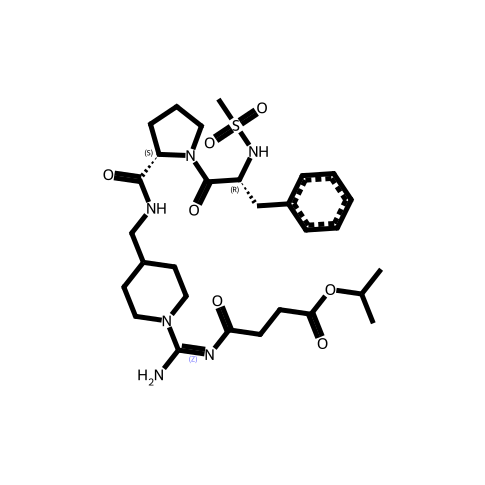 CC(C)OC(=O)CCC(=O)/N=C(/N)N1CCC(CNC(=O)[C@@H]2CCCN2C(=O)[C@@H](Cc2ccccc2)NS(C)(=O)=O)CC1